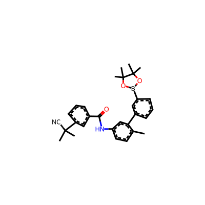 Cc1ccc(NC(=O)c2cccc(C(C)(C)C#N)c2)cc1-c1cccc(B2OC(C)(C)C(C)(C)O2)c1